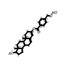 CC(=O)C1CCC2C3CC=C4C=C(OC(=O)c5ccc(CON=O)cc5)CCC4(C)C3CCC12C